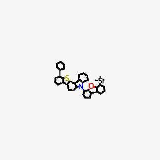 C[Si](C)(C)c1cccc2c1oc1c(-n3c4ccccc4c4c5sc6c(-c7ccccc7)cccc6c5ccc43)cccc12